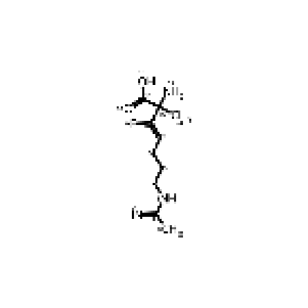 CC(=N)NCCCC=C(F)C(C)(N)C(=O)O